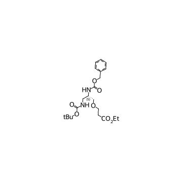 CCOC(=O)CCOC[C@H](CNC(=O)OC(C)(C)C)NC(=O)OCc1ccccc1